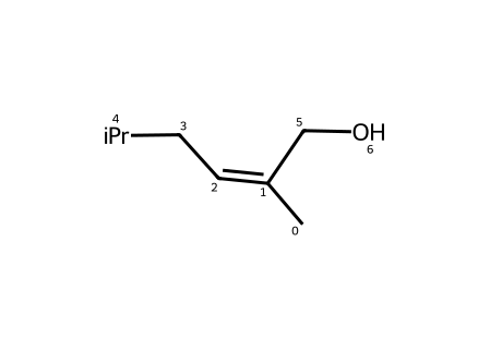 C/C(=C/CC(C)C)CO